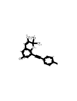 CCC1(C(F)(F)F)Oc2c(C#Cc3ccc(C)cc3)cc(Cl)cc2C=C1C(=O)O